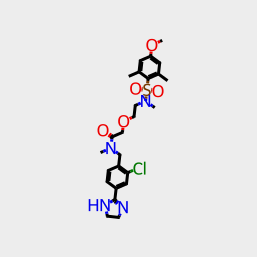 COc1cc(C)c(S(=O)(=O)N(C)CCOCC(=O)N(C)Cc2ccc(C3=NCCN3)cc2Cl)c(C)c1